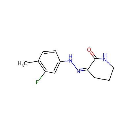 Cc1ccc(N/N=C2/CCCNC2=O)cc1F